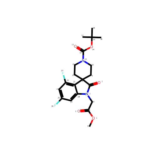 COC(=O)CN1C(=O)C2(CCN(C(=O)OC(C)(C)C)CC2)c2c(F)cc(F)cc21